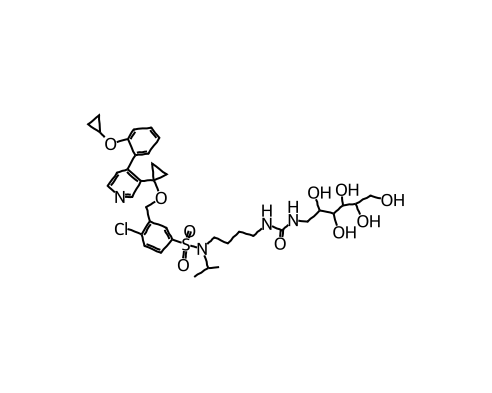 CC(C)N(CCCCNC(=O)NCC(O)C(O)C(O)C(O)CO)S(=O)(=O)c1ccc(Cl)c(COC2(c3cnccc3-c3ccccc3OC3CC3)CC2)c1